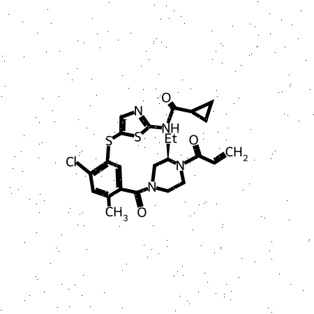 C=CC(=O)N1CCN(C(=O)c2cc(Sc3cnc(NC(=O)C4CC4)s3)c(Cl)cc2C)C[C@H]1CC